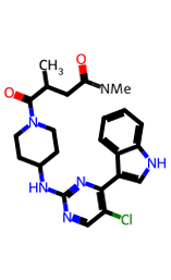 CNC(=O)CC(C)C(=O)N1CCC(Nc2ncc(Cl)c(-c3c[nH]c4ccccc34)n2)CC1